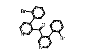 O=C(c1cnccc1-c1ccccc1Br)c1cnccc1-c1ccccc1Br